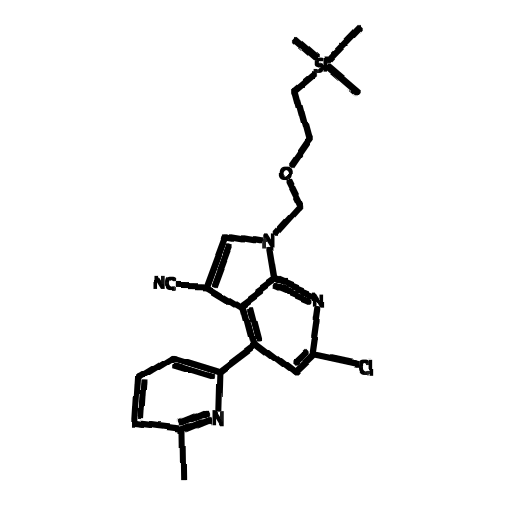 Cc1cccc(-c2cc(Cl)nc3c2c(C#N)cn3COCC[Si](C)(C)C)n1